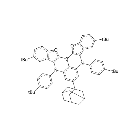 CC(C)(C)c1ccc(N2c3cc(C45CC6CC(CC(C6)C4)C5)cc4c3B(c3oc5ccc(C(C)(C)C)cc5c32)c2oc3ccc(C(C)(C)C)cc3c2N4c2ccc(C(C)(C)C)cc2)cc1